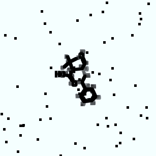 CC(C)(C)N(C(=O)O)[C@H](C=O)CCc1ccccc1